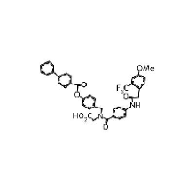 COc1ccc(CC(=O)Nc2ccc(C(=O)N(CC(=O)O)Cc3ccc(OC(=O)c4ccc(-c5ccccc5)cc4)cc3)cc2)c(C(F)(F)F)c1